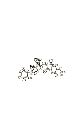 O=C1C(=Cc2cc3oc(-c4ccccc4)nc3n2C(F)(F)F)C(=O)c2cc3ccccc3cc21